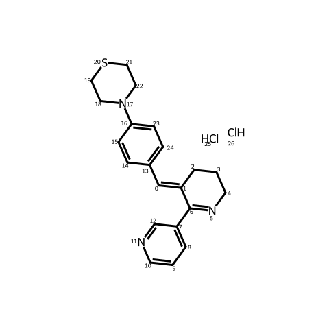 C(=C1CCCN=C1c1cccnc1)c1ccc(N2CCSCC2)cc1.Cl.Cl